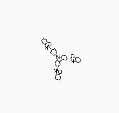 c1ccc2oc(-c3ccc(-n4c5ccc(-c6nc7ccccc7o6)cc5c5cc(-c6nc7ccccc7o6)ccc54)cc3)nc2c1